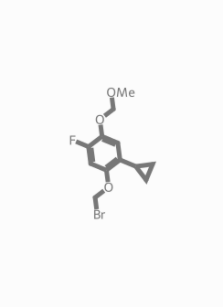 COCOc1cc(C2CC2)c(OCBr)cc1F